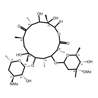 CCC1OC(=O)[C@H](C)C(OC2C[C@@](C)(OC)[C@@H](O)[C@H](C)O2)[C@H](C)C(O[C@H]2O[C@@H](C)C[C@H](NC)[C@H]2O)[C@](C)(O)C[C@@H](C)C(=O)[C@H](C)C(O)[C@]1(C)O